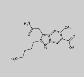 CCCCCc1[nH]c2cc(C(=O)O)c(C)cc2c1CC(N)=O